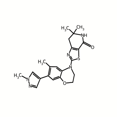 Cc1cc2c(cc1-c1cnn(C)c1)OCCN2c1nc2c(s1)C(=O)NC(C)(C)C2